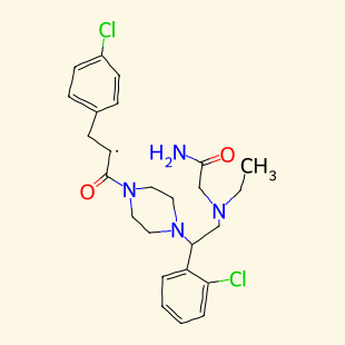 CCN(CC(N)=O)CC(c1ccccc1Cl)N1CCN(C(=O)[CH]Cc2ccc(Cl)cc2)CC1